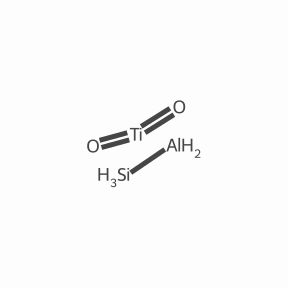 [AlH2][SiH3].[O]=[Ti]=[O]